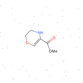 COC(=O)C1=COCCN1